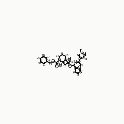 Cn1cc(-c2cn3nccc3c(OC3(C)C[C@@H]4[C@H]3CCCN4C(=O)OCc3ccccc3)n2)cn1